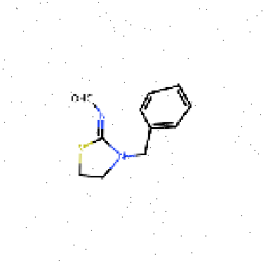 O=CN=C1SCCN1Cc1ccccc1